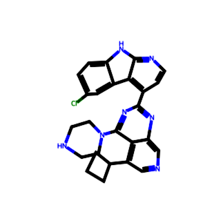 Clc1ccc2[nH]c3nccc(-c4nc(N5CCNCC5)c5c(C6CCC6)cncc5n4)c3c2c1